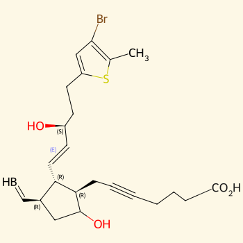 B=C[C@@H]1CC(O)[C@H](CC#CCCCC(=O)O)[C@H]1/C=C/[C@@H](O)CCc1cc(Br)c(C)s1